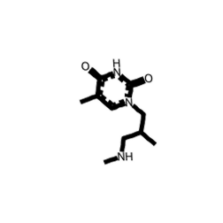 CNCC(C)Cn1cc(C)c(=O)[nH]c1=O